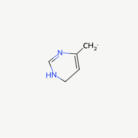 [CH2]C1=CCNC=N1